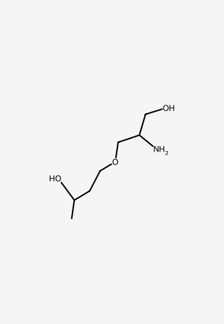 CC(O)CCOCC(N)CO